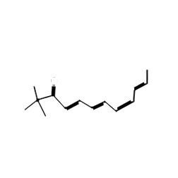 C/C=C/C=C\C=C\C=C\C(=O)C(C)(C)C